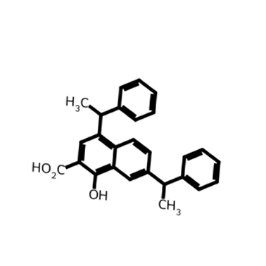 CC(c1ccccc1)c1ccc2c(C(C)c3ccccc3)cc(C(=O)O)c(O)c2c1